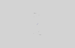 C=CS(=O)(=O)CC/C=C/CCS(=O)(=O)C=C